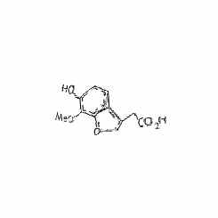 COc1c(O)ccc2c(CC(=O)O)coc12